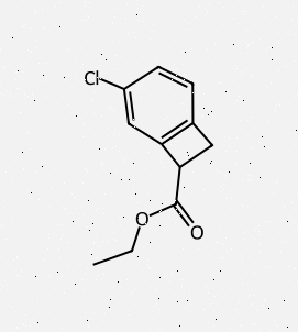 CCOC(=O)C1Cc2ccc(Cl)cc21